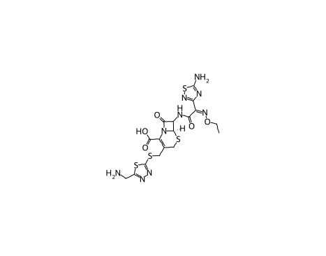 CCO/N=C(\C(=O)NC1C(=O)N2C(C(=O)O)=C(CSc3nnc(CN)s3)CS[C@H]12)c1nsc(N)n1